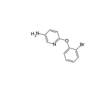 Nc1ccc(Oc2ccccc2Br)nc1